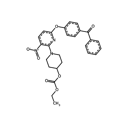 CCOC(=O)OC1CCN(c2nc(Oc3ccc(C(=O)c4ccccc4)cc3)ccc2[N+](=O)[O-])CC1